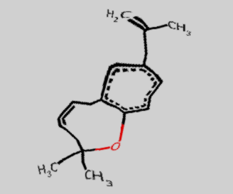 C=C(C)c1ccc2c(c1)C=CC(C)(C)O2